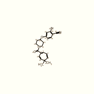 CC1(C)C=CC=C(C(=O)N2CCC(Oc3ccc(C#N)c(Br)c3)CC2)C=C1